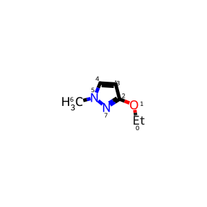 CCOc1[c]cn(C)n1